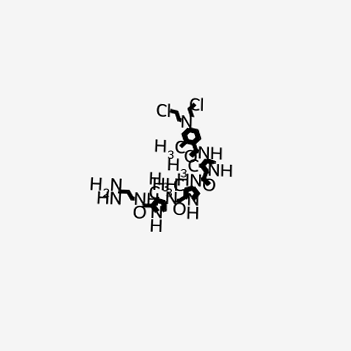 Cc1cc(N(CCCl)CCCl)ccc1C(=O)Nc1c[nH]c(C(=O)Nc2c[nH]c(C(=O)Nc3c[nH]c(C(=O)NCCC(=N)N)c3C)c2C)c1C